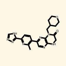 Cc1nc(-c2nnc[nH]2)ccc1-c1cnc2c(n1)N(CC1CCOCC1)C(=O)CN2